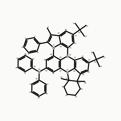 Cc1c(-c2ccccc2)n2c3c(cc(C(C)(C)C)cc13)B1c3cc(C(C)(C)C)cc4c3N(c3cc(N(c5ccccc5)c5ccccc5)cc-2c31)C1(C)CCCCC41C